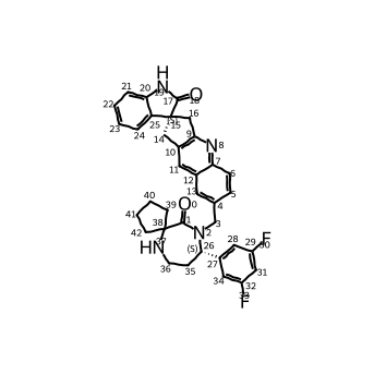 O=C1N(Cc2ccc3nc4c(cc3c2)C[C@@]2(C4)C(=O)Nc3ccccc32)[C@H](c2cc(F)cc(F)c2)CCNC12CCCC2